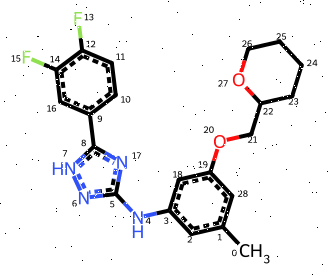 Cc1cc(Nc2n[nH]c(-c3ccc(F)c(F)c3)n2)cc(OCC2CCCCO2)c1